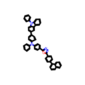 c1ccc(N(c2ccc(-c3ccc4c(c3)c3ccccc3n4-c3ccccc3)cc2)c2ccc(-c3nnc(-c4ccc(-c5cccc6ccccc56)cc4)o3)cc2)cc1